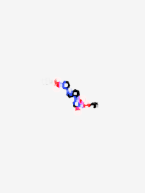 CC(C)(C)OC(=O)N1CCC[C@@H](n2ccc3c(N4CCC(=O)N(COCC[Si](C)(C)C)C4=O)cccc32)C1